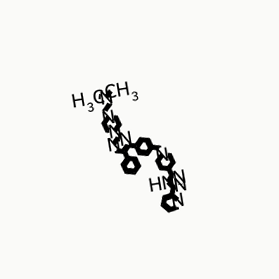 CN(C)CCN1CCN(c2ncc(-c3ccccc3)c(-c3ccc(CN4CCC(c5nnc(-c6ccccn6)[nH]5)CC4)cc3)n2)CC1